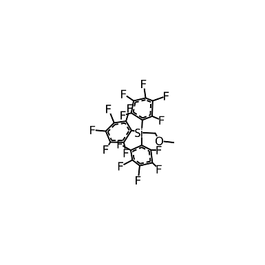 COC[Si](c1c(F)c(F)c(F)c(F)c1F)(c1c(F)c(F)c(F)c(F)c1F)c1c(F)c(F)c(F)c(F)c1F